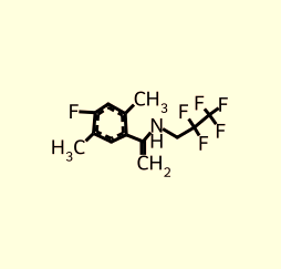 C=C(NCC(F)(F)C(F)(F)F)c1cc(C)c(F)cc1C